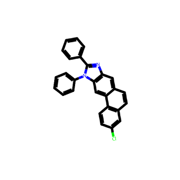 Clc1ccc2c(ccc3cc4nc(-c5ccccc5)n(-c5ccccc5)c4cc32)c1